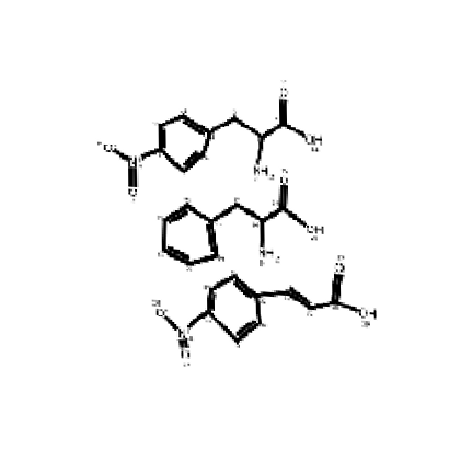 NC(Cc1ccc([N+](=O)[O-])cc1)C(=O)O.NC(Cc1ccccc1)C(=O)O.O=C(O)C=Cc1ccc([N+](=O)[O-])cc1